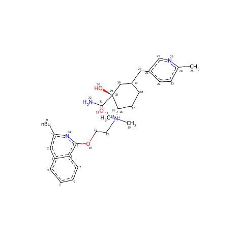 CCCCc1cc2ccccc2c(OCC[N+](C)(C)[C@H]2CCC(Cc3ccc(C)nc3)C[C@@]2(O)C(N)=O)n1